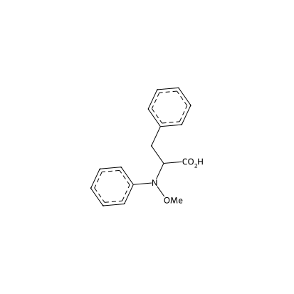 CON(c1ccccc1)C(Cc1ccccc1)C(=O)O